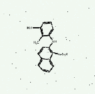 CCCCCCCc1c(Nc2cccc(C)c2C)ccc2ccccc12